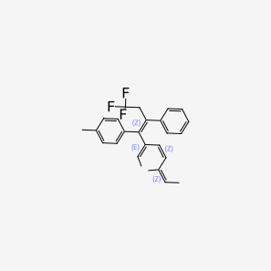 C\C=C(C)/C=C\C(=C/C)C(=C(\CC(F)(F)F)c1ccccc1)\c1ccc(C)cc1